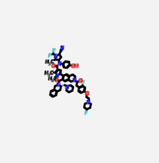 Cc1c(C(=O)N(c2ccc(O)cc2)C2CC(C#N)N(C(F)F)C2C)cc(-c2cc3c(cc2C(=O)N2Cc4ccccc4C[C@H]2CN2CCCCC2)CN(C(=O)Cc2ccc(OCCN4CCC(F)CC4)cc2F)CC3)n1C